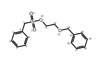 O=S(=O)(Cc1ccccc1)OCCOCc1ccccc1